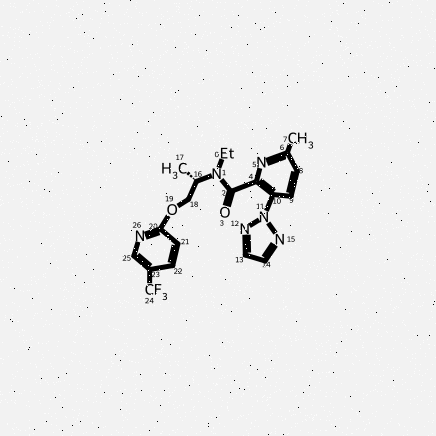 CCN(C(=O)c1nc(C)ccc1-n1nccn1)[C@@H](C)COc1ccc(C(F)(F)F)cn1